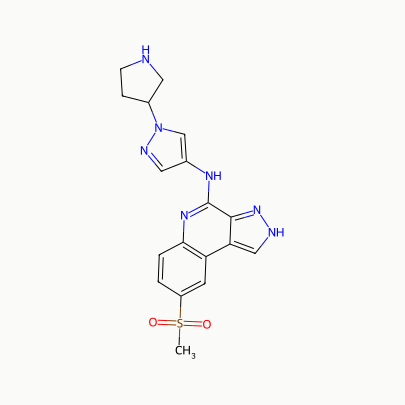 CS(=O)(=O)c1ccc2nc(Nc3cnn(C4CCNC4)c3)c3n[nH]cc3c2c1